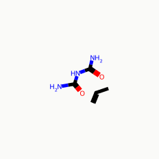 C=CC.NC(=O)NC(N)=O